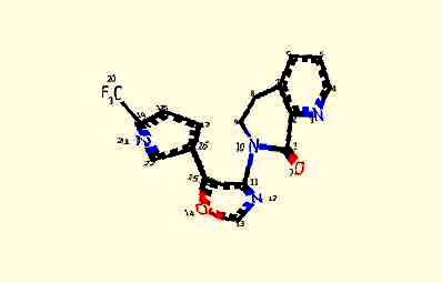 O=C1c2ncccc2CCN1c1ncoc1-c1ccc(C(F)(F)F)nc1